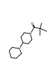 CC(C)(C)C(=O)N1CCC(N2CCCCC2)CC1